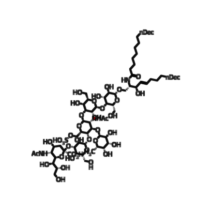 CCCCCCCCCCCCC/C=C/[C@@H](O)[C@H](CO[C@@H]1O[C@H](CO)[C@@H](O[C@@H]2O[C@H](CO)[C@H](O)[C@H](O[C@@H]3O[C@H](COS(=O)(=O)O)[C@@H](O[C@@H]4O[C@H](CO)[C@H](O)[C@H](O[C@]5(C(=O)O)C[C@H](O)[C@@H](NC(C)=O)[C@H]([C@H](O)[C@H](O)CO)O5)[C@H]4O)[C@H](O[C@@H]4O[C@@H](C)[C@@H](O)[C@@H](O)[C@@H]4O)[C@H]3NC(C)=O)[C@H]2O)[C@H](O)[C@H]1O)NC(=O)CCCCCCCCCCCCCCCCC